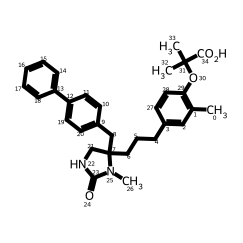 Cc1cc(CCCC2(Cc3ccc(-c4ccccc4)cc3)CNC(=O)N2C)ccc1OC(C)(C)C(=O)O